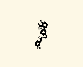 Cc1cccc(CC(=O)N2CCc3cc(-c4cccc5c4c(N)nn5C)ccc32)c1